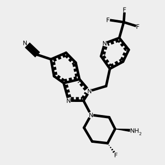 N#Cc1ccc2c(c1)nc(N1CC[C@@H](F)[C@H](N)C1)n2Cc1ccc(C(F)(F)F)nc1